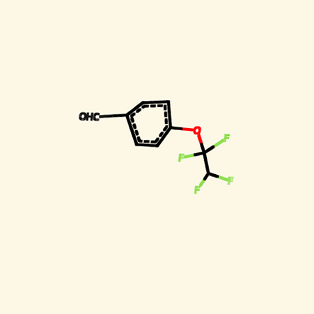 O=Cc1ccc(OC(F)(F)C(F)F)cc1